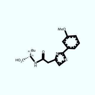 CC[C@@H](C)[C@H](NC(=O)Cc1csc(-c2cccc(OC)c2)n1)C(=O)O